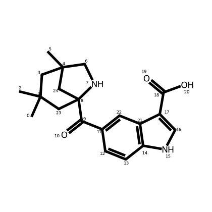 CC1(C)CC2(C)CNC(C(=O)c3ccc4[nH]cc(C(=O)O)c4c3)(C1)C2